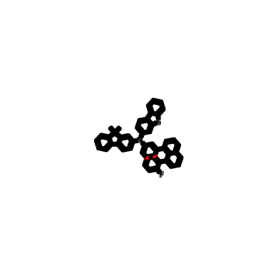 CC1(C)c2ccccc2-c2ccc(N(c3cccc(-c4cccc5cccc(-c6ccccc6F)c45)c3)c3ccc4c(c3)sc3ccccc34)cc21